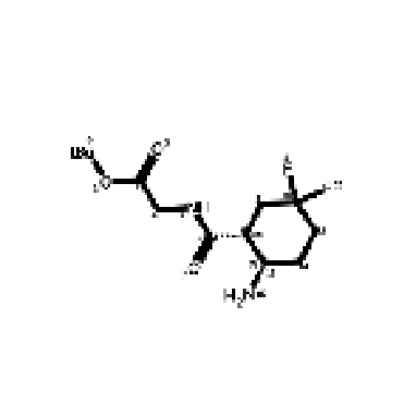 CC(C)(C)OC(=O)CNC(=O)[C@@H]1CC(F)(F)CC[C@H]1N